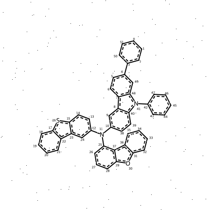 c1ccc(-c2ccc3c4cc(N(c5ccc6sc7ccccc7c6c5)c5cccc6oc7ccccc7c56)ccc4n(-c4ccccc4)c3c2)cc1